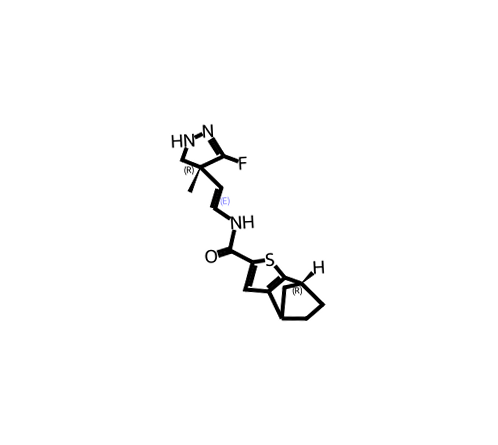 C[C@@]1(/C=C/NC(=O)c2cc3c(s2)[C@@H]2CCC3C2)CNN=C1F